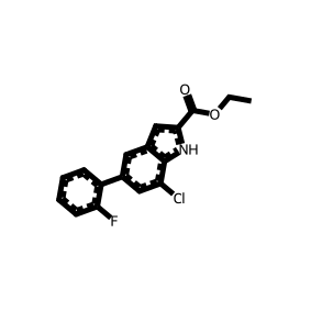 CCOC(=O)c1cc2cc(-c3ccccc3F)cc(Cl)c2[nH]1